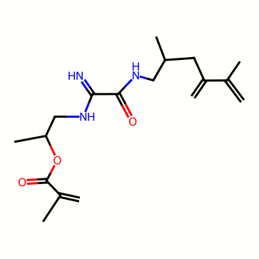 C=C(C)C(=C)CC(C)CNC(=O)C(=N)NCC(C)OC(=O)C(=C)C